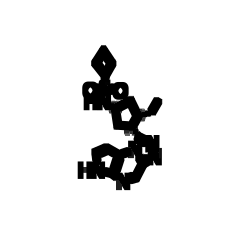 CC[C@H]1C[C@@H](NS(=O)(=O)C2CCC2)C[C@H]1c1nnc2cnc3[nH]ccc3n12